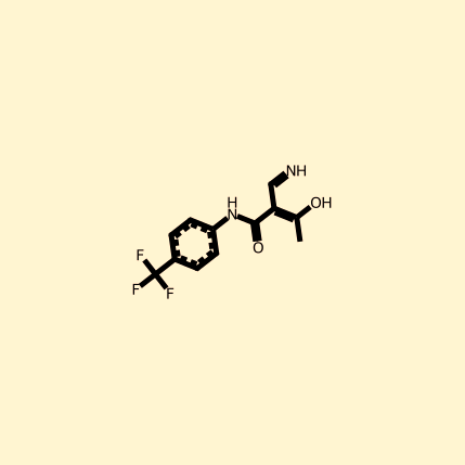 C/C(O)=C(/C=N)C(=O)Nc1ccc(C(F)(F)F)cc1